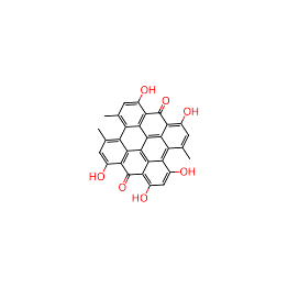 Cc1cc(O)c2c(=O)c3c(O)cc(C)c4c5c(O)cc(O)c6c(=O)c7c(O)cc(C)c8c1c2c(c34)c(c78)c65